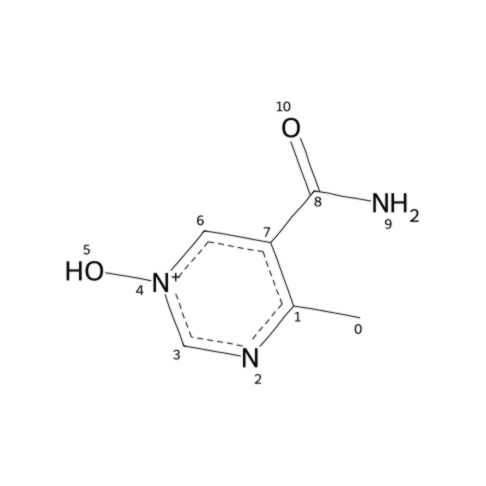 Cc1nc[n+](O)cc1C(N)=O